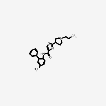 Cc1ccc(NC(=O)c2csc(C3CCN(CCC(F)(F)F)CC3)n2)c(-c2ccccc2)c1